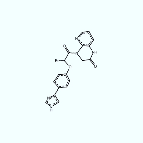 CCC(Oc1ccc(-c2c[nH]cn2)cc1)C(=O)N1CC(=O)Nc2cccnc21